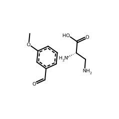 COc1cccc(C=O)c1.NC[C@H](N)C(=O)O